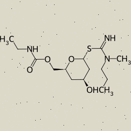 CCCN(C)C(=N)SC1C[C@@H](O)C[C@@H](COC(=O)NCC)O1